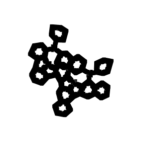 c1ccc(N(c2ccccc2)c2cccc3c4cccc5c6c7c8cc9ccccc9c9c%10cc%11ccccc%11c(N(c%11ccccc%11)c%11ccccc%11)c%10n(c7ncc6n(c23)c45)c89)cc1